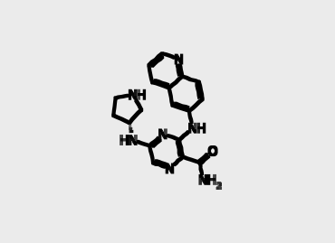 NC(=O)c1ncc(N[C@@H]2CCNC2)nc1Nc1ccc2ncccc2c1